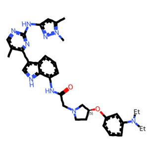 CCN(CC)c1cccc(O[C@H]2CCN(CC(=O)Nc3cccc4c(-c5nc(Nc6cc(C)n(C)n6)ncc5C)c[nH]c34)C2)c1